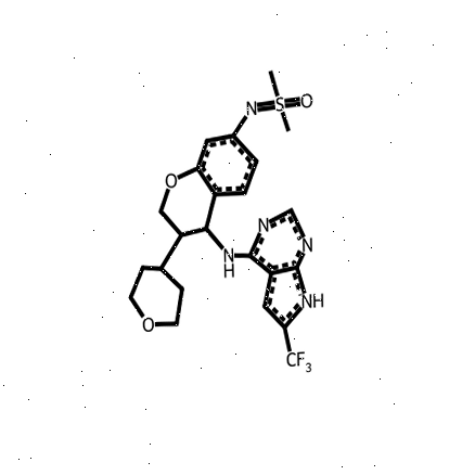 CS(C)(=O)=Nc1ccc2c(c1)OCC(C1CCOCC1)C2Nc1ncnc2[nH]c(C(F)(F)F)cc12